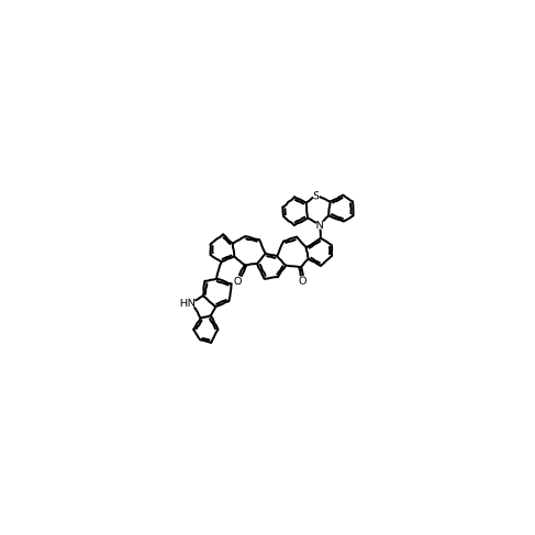 O=c1c2cccc(N3c4ccccc4Sc4ccccc43)c2ccc2c1ccc1c(=O)c3c(-c4ccc5c(c4)[nH]c4ccccc45)cccc3ccc12